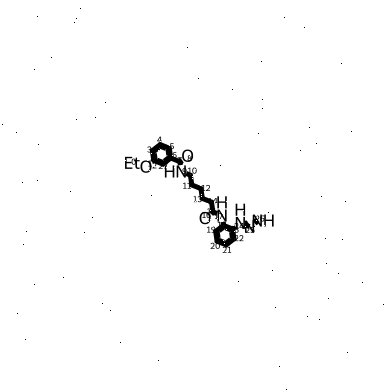 CCOc1cccc(C(=O)NCCCCCC(=O)Nc2ccccc2NN=N)c1